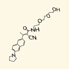 C/C(=C(/C#N)C(=O)NCCOCCOCCO)c1ccc2cc(N3CCCC3)ccc2c1